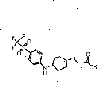 O=C(O)CO[C@H]1CC[C@H](Nc2ccc(S(=O)(=O)C(F)(F)F)cc2)CC1